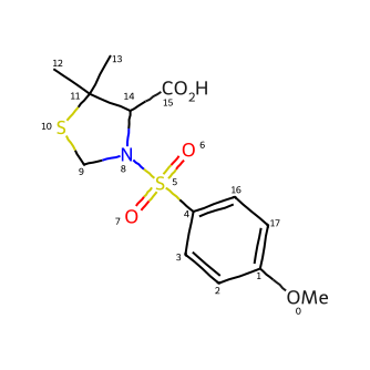 COc1ccc(S(=O)(=O)N2CSC(C)(C)C2C(=O)O)cc1